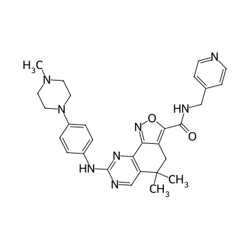 CN1CCN(c2ccc(Nc3ncc4c(n3)-c3noc(C(=O)NCc5ccncc5)c3CC4(C)C)cc2)CC1